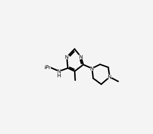 Cc1c(NC(C)C)ncnc1N1CCN(C)CC1